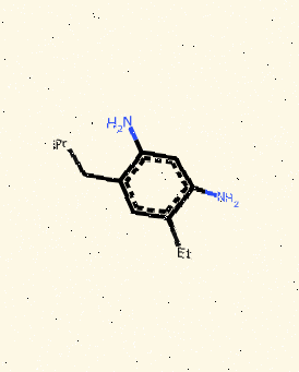 CCc1cc(CC(C)C)c(N)cc1N